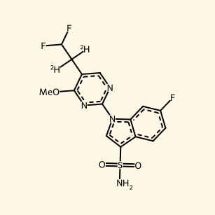 [2H]C([2H])(c1cnc(-n2cc(S(N)(=O)=O)c3ccc(F)cc32)nc1OC)C(F)F